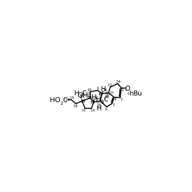 CCCCOC1=CC2=CC[C@@H]3[C@H](CC[C@@]4(C)[C@H]3CC[C@@]4(O)CCC(=O)O)[C@@]2(C)CC1